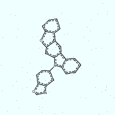 c1ccc2c(c1)oc1cc3c(cc12)c1ccccc1n3-c1ccc2ocnc2c1